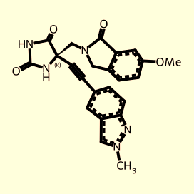 COc1ccc2c(c1)C(=O)N(C[C@@]1(C#Cc3ccc4nn(C)cc4c3)NC(=O)NC1=O)C2